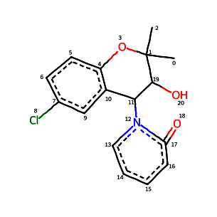 CC1(C)Oc2ccc(Cl)cc2C(n2ccccc2=O)C1O